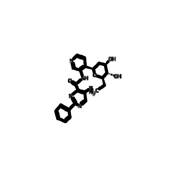 CC[C@H]1O[C@@H](c2ccncc2NC(=O)c2nc(-c3ccccc3)ncc2N)C[C@@H](O)[C@@H]1O